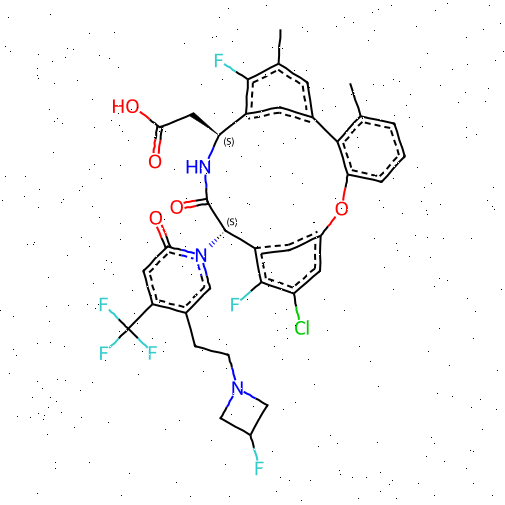 Cc1cc2cc(c1F)[C@H](CC(=O)O)NC(=O)[C@@H](n1cc(CCN3CC(F)C3)c(C(F)(F)F)cc1=O)c1cc(cc(Cl)c1F)Oc1cccc(C)c1-2